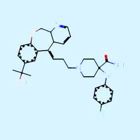 CC(C)(O)c1ccc2c(c1)/C(=C/CCN1CCC(Nc3ccc(Cl)cc3)(C(N)=O)CC1)C1C=CC=NC1CO2